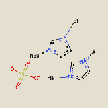 CCCCn1cc[n+](CC)c1.CCCCn1cc[n+](CC)c1.O=S(=O)([O-])[O-]